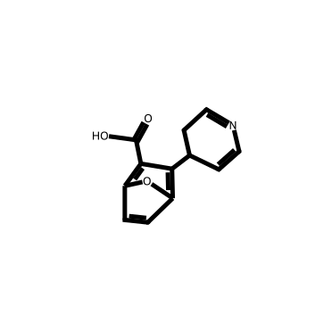 O=C(O)c1c(C2C=CN=CC2)c2ccc1o2